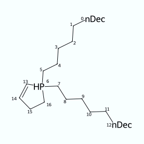 CCCCCCCCCCCCCCC[PH]1(CCCCCCCCCCCCCCC)C=CCC1